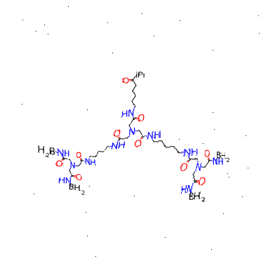 BNC(=O)CN(CC(=O)NB)CC(=O)NCCCCCNC(=O)CN(CC(=O)NCCCCCNC(=O)CN(CC(=O)NB)CC(=O)NB)CC(=O)NCCCCCC(=O)C(C)C